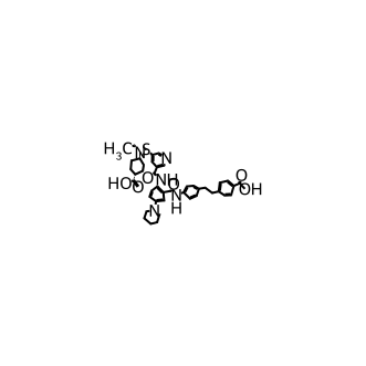 CCN(Sc1cncc(C(=O)Nc2ccc(N3CCCCC3)cc2C(=O)Nc2ccc(CCc3ccc(C(=O)O)cc3)cc2)c1)[C@H]1CC[C@H](C(=O)O)CC1